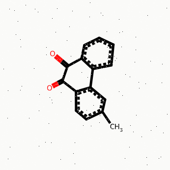 Cc1ccc2c(c1)-c1ccccc1C(=O)C2=O